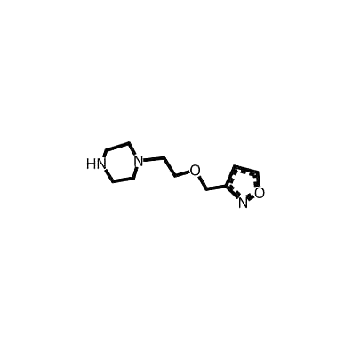 c1cc(COCCN2CCNCC2)no1